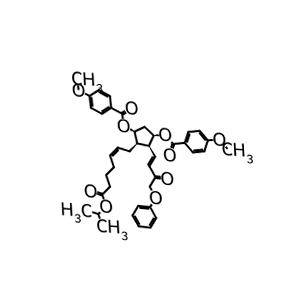 COc1ccc(C(=O)O[C@H]2C[C@@H](OC(=O)c3ccc(OC)cc3)[C@@H](/C=C/C(=O)COc3ccccc3)[C@H]2C/C=C\CCCC(=O)OC(C)C)cc1